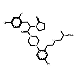 CO[C@H](C)CNCCc1cc(C(F)(F)F)ccc1N1CCN(C(=O)C(Cc2ccc(Cl)cc2Cl)N2CCCC2=O)CC1